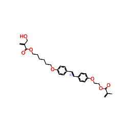 C=C(C)C(=O)OCCOc1ccc(/C=C/c2ccc(OCCCCCCOC(=O)C(=C)CO)cc2)cc1